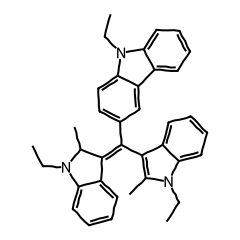 CCN1c2ccccc2C(=C(c2ccc3c(c2)c2ccccc2n3CC)c2c(C)n(CC)c3ccccc23)C1C